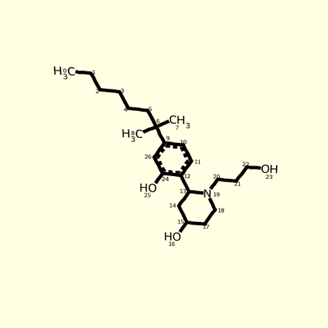 CCCCCCC(C)(C)c1ccc(C2CC(O)CCN2CCCO)c(O)c1